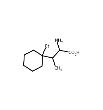 CCC1(C(C)C(N)C(=O)O)CCCCC1